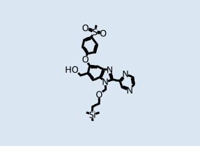 C[Si](C)(C)CCOCn1c(-c2cnccn2)nc2cc(Oc3ccc(S(C)(=O)=O)cc3)c(CO)cc21